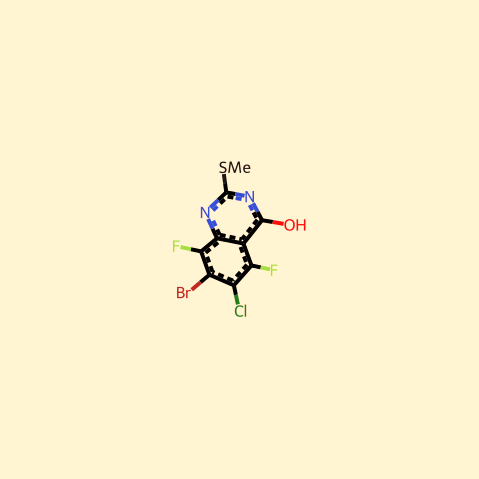 CSc1nc(O)c2c(F)c(Cl)c(Br)c(F)c2n1